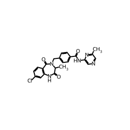 Cc1cncc(NC(=O)c2ccc(CN3C(=O)c4ccc(Cl)cc4NC(=O)C3C)cc2)n1